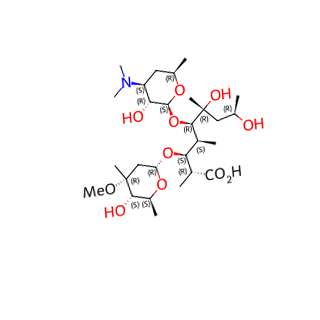 CO[C@]1(C)C[C@H](O[C@@H]([C@H](C)[C@@H](O[C@@H]2O[C@H](C)C[C@H](N(C)C)[C@H]2O)[C@](C)(O)C[C@@H](C)O)[C@@H](C)C(=O)O)O[C@@H](C)[C@@H]1O